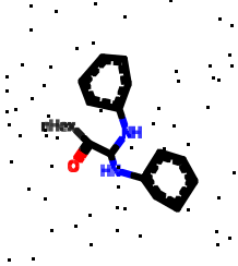 CCCCCCC(=O)C(Nc1ccccc1)Nc1ccccc1